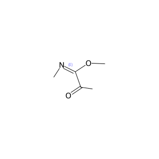 C/N=C(/OC)C(C)=O